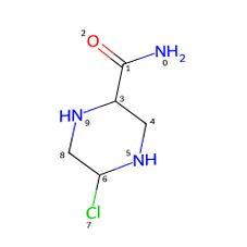 NC(=O)C1CNC(Cl)CN1